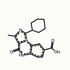 Cc1nc(C2CCCCC2)n2c1c(=O)[nH]c1ccc(C(=O)O)cc12